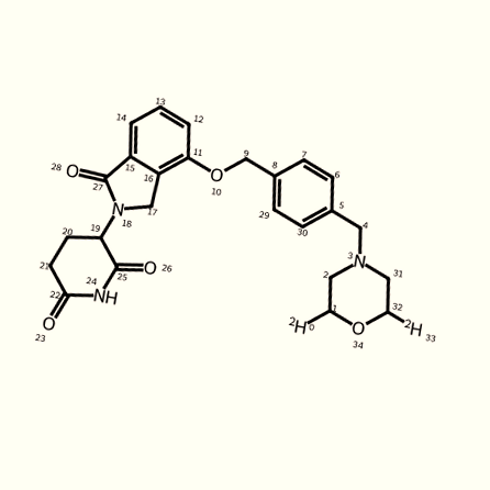 [2H]C1CN(Cc2ccc(COc3cccc4c3CN(C3CCC(=O)NC3=O)C4=O)cc2)CC([2H])O1